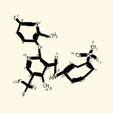 Cc1nc(F)ccc1Oc1ncc(C(F)(F)F)c(C)c1C(=O)Nc1cccc(S(C)(=O)=O)c1